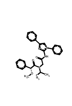 CO[C@@H](C(=O)N(CC(=O)Nc1nc(-c2ccccc2)cn1-c1ccccc1)C(C)C)c1ccccc1